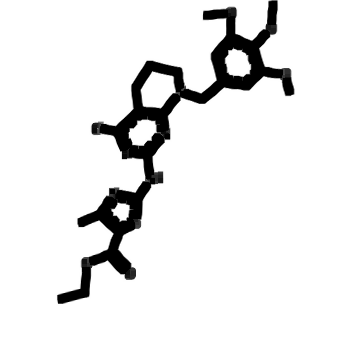 CCOC(=O)c1sc(Nc2nc(Cl)c3c(n2)N(Cc2cc(OC)c(OC)c(OC)c2)CCC3)nc1C